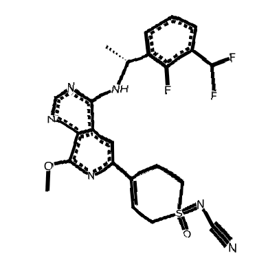 COc1nc(C2=CCS(=O)(=NC#N)CC2)cc2c(N[C@H](C)c3cccc(C(F)F)c3F)ncnc12